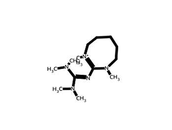 CN(C)C(=N/C1=[N+](\C)CCCCCN1C)N(C)C